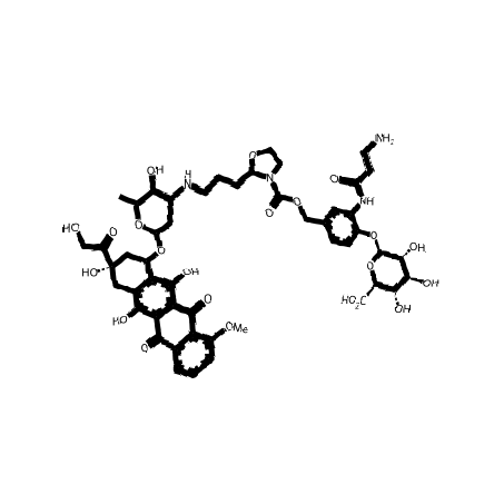 COc1cccc2c1C(=O)c1c(O)c3c(c(O)c1C2=O)C[C@@](O)(C(=O)CO)CC3OC1CC(NCCCC2OCCN2C(=O)OCc2ccc(O[C@@H]3O[C@H](C(=O)O)[C@@H](O)[C@H](O)[C@H]3O)c(NC(=O)CCN)c2)C(O)C(C)O1